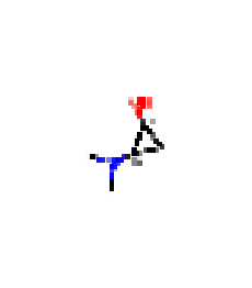 CN(C)[C@@H]1C[C@@H]1O